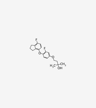 CC(C)(O)CCOc1ccc(Oc2ccc(F)c3c2CCC3)c(F)c1